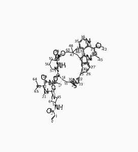 C=CC(=O)NC1CN(C(=O)N(C)[C@H](C(=O)[N+]#CC[C@H]2Cc3nc(cs3)-c3ccc4c(c3)c(c(-c3cccnc3[C@H](C)OC)n4CC)CC(C)(C)COC(=O)[C@@H]3CCCN(N3)C2=O)C(C)C)C1